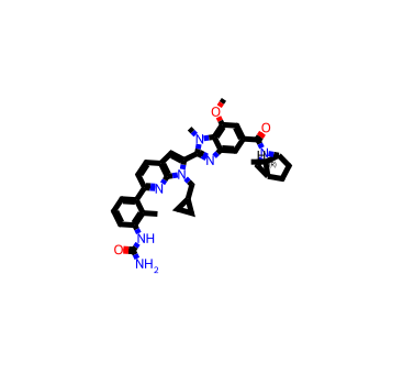 COc1cc(C(=O)N2CC3CCC2[C@@H]3C)cc2nc(-c3cc4ccc(-c5cccc(NC(N)=O)c5C)nc4n3CC3CC3)n(C)c12